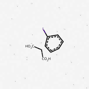 Ic1ccccc1.O=C(O)CC(=O)O